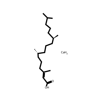 C/C(=C\C(=O)O)CCC[C@H](C)CCC[C@H](C)CCCC(C)C.[CaH2]